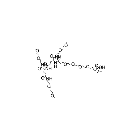 COCCCOCCNC(=O)CCC(NC(=O)CCC(NC(=O)CCOCCOCCOCCOCCOP(=O)(O)C(C)C)C(=O)NCCOCCOC)C(=O)NCCOCCOC